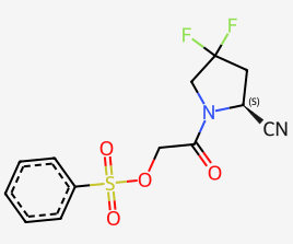 N#C[C@@H]1CC(F)(F)CN1C(=O)COS(=O)(=O)c1ccccc1